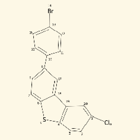 Clc1ccc2sc3ccc(-c4ccc(Br)cc4)cc3c2c1